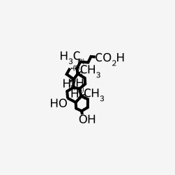 C[C@H](CCC(=O)O)[C@H]1CC[C@H]2[C@@H]3CC(O)C4CC(O)CC[C@]4(C)[C@H]3CC[C@]12C